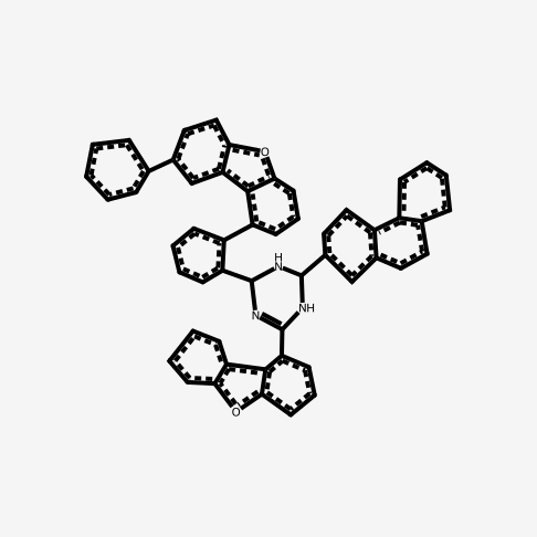 c1ccc(-c2ccc3oc4cccc(-c5ccccc5C5N=C(c6cccc7oc8ccccc8c67)NC(c6ccc7c(ccc8ccccc87)c6)N5)c4c3c2)cc1